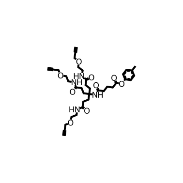 C#CCOCCNC(=O)CCC(CCC(=O)NCCOCC#C)(CCC(=O)NCCOCC#C)NC(=O)CCCC(=O)Oc1ccc(C)cc1